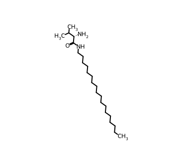 CCCCCCCCCCCCCCCCCCNC(=O)[C@@H](N)C(C)C